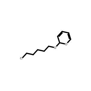 ClCCCCCOC1C=CC=CO1